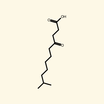 CC(C)CCCCCC(=O)CCC(=O)O